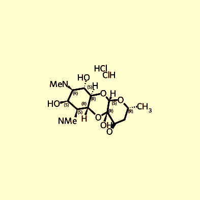 CN[C@@H]1[C@H](O)[C@H](NC)[C@H]2O[C@@]3(O)C(=O)C[C@@H](C)O[C@H]3O[C@@H]2[C@H]1O.Cl.Cl